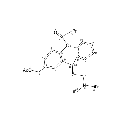 CC(=O)OCc1ccc(OC(=O)C(C)C)c([C@H](CCN(C(C)C)C(C)C)c2ccccc2)c1